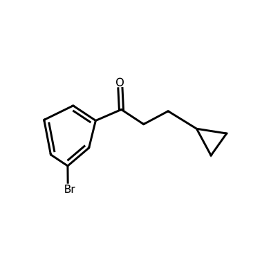 O=C(CCC1CC1)c1cccc(Br)c1